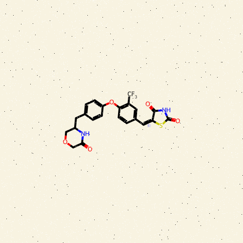 O=C1COCC(Cc2ccc(Oc3ccc(/C=C4/SC(=O)NC4=O)cc3C(F)(F)F)cc2)N1